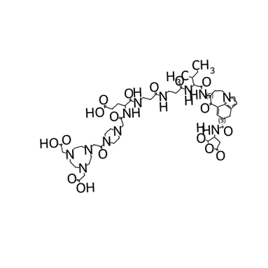 CCC(C)C(NC(=O)CCNC(=O)CCNC(=O)C(CCC(=O)O)NC(=O)CN1CCN(C(=O)CN2CCN(CC(=O)O)CCN(CC(=O)O)CC2)CC1)C(=O)N[C@H]1CCn2ccc3c2C(=C[C@@H](C(=O)NC2CC(=O)OC2O)C3)C1=O